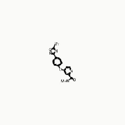 CNC(=O)c1cc(Oc2ccc(-c3noc(C(C)C)n3)cc2)ccn1